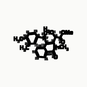 COC(=O)C(O)c1c(N(C)c2ccc(C)c(C)c2)c2ccccc2c(=O)n1C